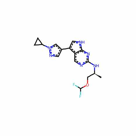 C[C@@H](COC(F)F)Nc1ncc2c(-c3cnn(C4CC4)c3)c[nH]c2n1